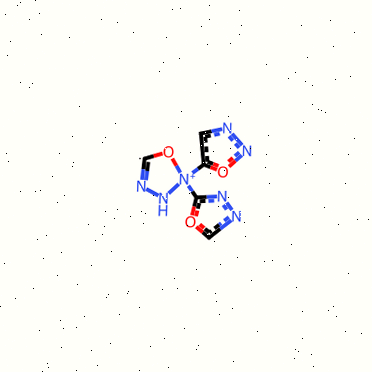 [C]1=NN[N+](c2cnno2)(c2nnco2)O1